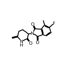 C=C1CCC(N2C(=O)c3ccc(F)c(C)c3C2=O)C(=O)N1